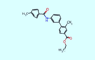 CCOC(=O)c1ccc(-c2cccc(NC(=O)c3ccc(C)cc3)c2)c(C)c1